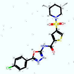 C[C@@H]1C[C@H](C)CN(S(=O)(=O)c2csc(C(=O)Nc3nnc(-c4ccc(Cl)cc4)o3)c2)C1